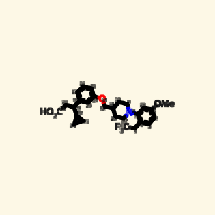 COc1ccc(CC(F)(F)F)c(N2CCC(COc3cccc(C(CC(=O)O)C4CC4)c3)CC2)c1